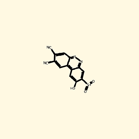 N#Cc1cc2nnc3cc([SH](=O)=O)c(O)cc3c2cc1C#N